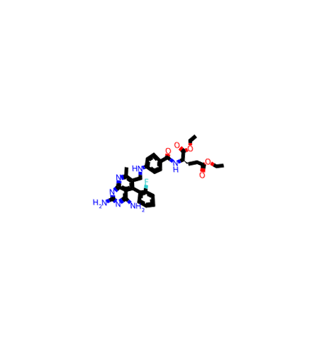 CCOC(=O)CC[C@H](NC(=O)c1ccc(NCc2c(C)nc3nc(N)nc(N)c3c2-c2ccccc2F)cc1)C(=O)OCC